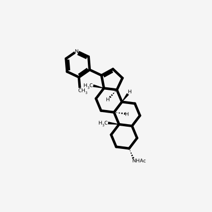 CC(=O)N[C@@H]1CC[C@@]2(C)C(CC[C@@H]3[C@@H]2CC[C@]2(C)C(c4cnccc4C)=CC[C@@H]32)C1